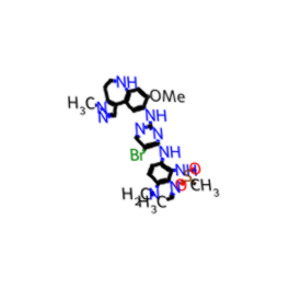 C=Nc1ccc(Nc2nc(Nc3cc4c(cc3OC)NCCc3c-4cnn3C)ncc2Br)c(NS(C)(=O)=O)c1/N=C\C